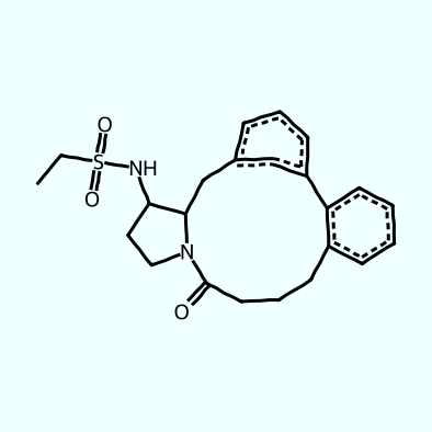 CCS(=O)(=O)NC1CCN2C(=O)CCCc3ccccc3-c3cccc(c3)CC12